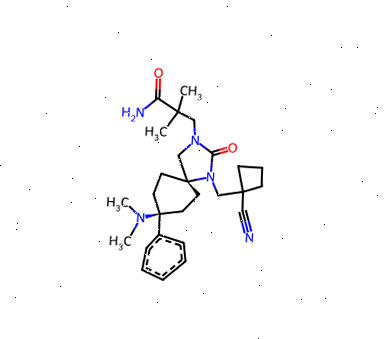 CN(C)[C@]1(c2ccccc2)CC[C@@]2(CC1)CN(CC(C)(C)C(N)=O)C(=O)N2CC1(C#N)CCC1